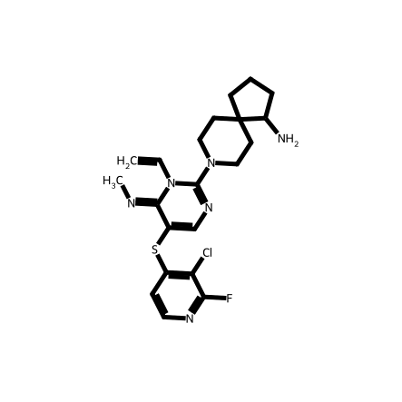 C=Cn1c(N2CCC3(CCCC3N)CC2)ncc(Sc2ccnc(F)c2Cl)/c1=N/C